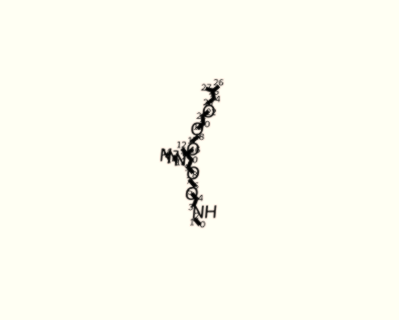 CCNCCOCCOCCC(C)(N=[N+]=[N-])OCCOCCOCCC(C)C